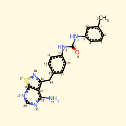 Cc1cccc(NC(=O)Nc2ccc(Cc3nsc4ncnc(N)c34)cc2)c1